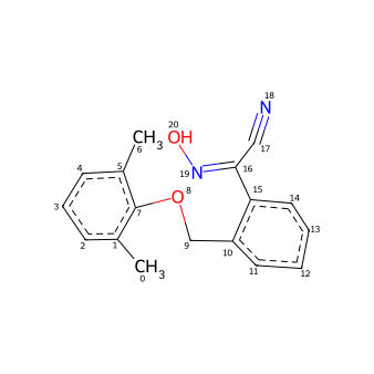 Cc1cccc(C)c1OCc1ccccc1C(C#N)=NO